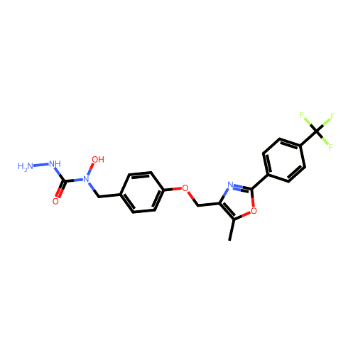 Cc1oc(-c2ccc(C(F)(F)F)cc2)nc1COc1ccc(CN(O)C(=O)NN)cc1